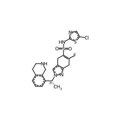 C[C@H](c1cccc2c1CNCC2)n1cc2c(n1)CC(F)=C(S(=O)(=O)Nc1ncc(Cl)s1)C2